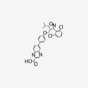 CC(C)C1ON=C(c2c(Cl)cccc2Cl)C1COc1ccc(-c2ccc3nc(C(=O)O)cnc3c2)cc1